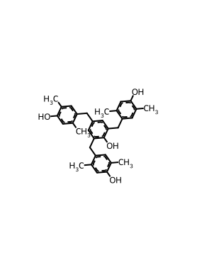 Cc1cc(Cc2cc(Cc3cc(C)c(O)cc3C)c(O)c(Cc3cc(C)c(O)cc3C)c2)c(C)cc1O